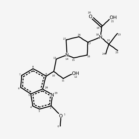 COc1ccc2cccc(C(CO)CN3CCC(N(C(=O)O)C(C)(C)C)CC3)c2n1